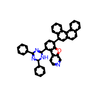 c1ccc(C2=NC(c3ccccc3)NC(c3ccc(-c4cc5ccc6ccccc6c5c5ccccc45)c4oc5cnccc5c34)=N2)cc1